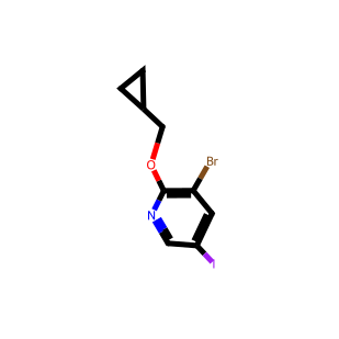 Brc1cc(I)cnc1OCC1CC1